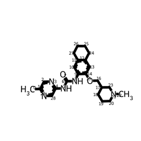 Cc1cnc(NC(=O)Nc2cc3c(cc2OCC2CCCN(C)C2)CCCC3)cn1